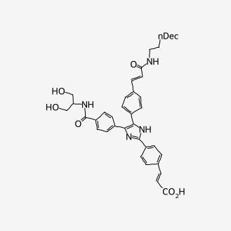 CCCCCCCCCCCCNC(=O)C=Cc1ccc(-c2[nH]c(-c3ccc(C=CC(=O)O)cc3)nc2-c2ccc(C(=O)NC(CO)CO)cc2)cc1